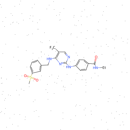 CCNC(=O)c1ccc(Nc2ncc(C(F)(F)F)c(NCc3cccc(S(C)(=O)=O)c3)n2)cc1